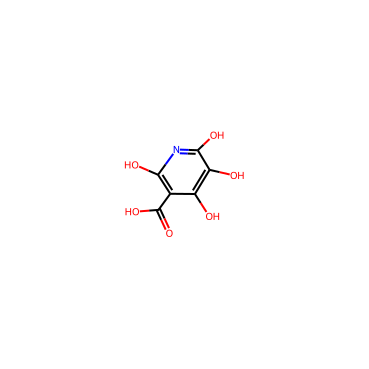 O=C(O)c1c(O)nc(O)c(O)c1O